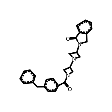 O=C(c1ccc(Cc2ccccc2)cc1)N1CC(N2CC(N3Cc4ccccc4C3=O)C2)C1